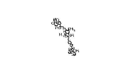 Cc1cc(NC(=O)CCN2CCC3(CC2)CC(OC(=O)C(O)(c2cccs2)c2cccs2)C3)c(C)cc1CNC[C@H](O)c1ccc(O)c2[nH]c(=O)ccc12